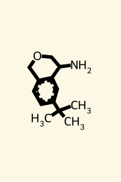 CC(C)(C)c1ccc2c(c1)C(N)COC2